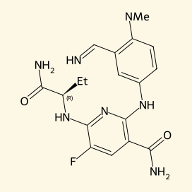 CC[C@@H](Nc1nc(Nc2ccc(NC)c(C=N)c2)c(C(N)=O)cc1F)C(N)=O